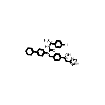 C[C@@H](NC(=O)N(Cc1ccc([C@H](O)Cc2nn[nH]n2)cc1)c1ccc(C2=CCCCC2)cc1)c1ccc(Cl)cc1